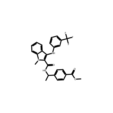 COC(=O)c1ccc(C(C)NC(=O)c2c(Nc3cccc(C(F)(F)F)c3)c3ccccc3n2C)cc1